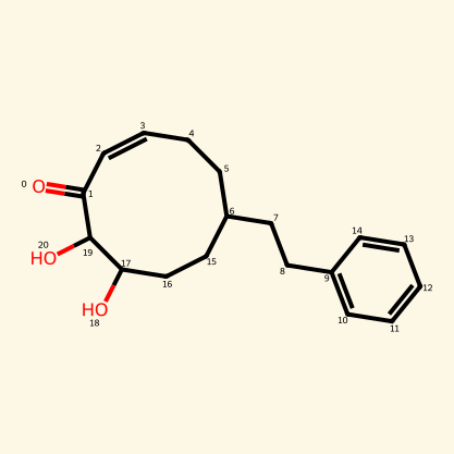 O=C1/C=C\CCC(CCc2ccccc2)CCC(O)C1O